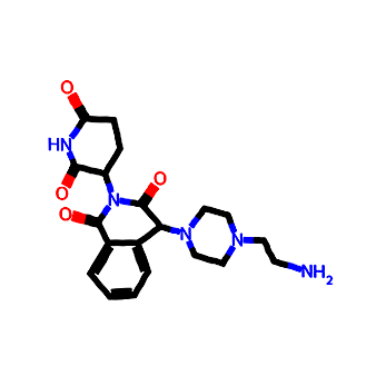 NCCN1CCN(C2C(=O)N(C3CCC(=O)NC3=O)C(=O)c3ccccc32)CC1